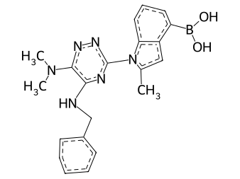 Cc1cc2c(B(O)O)cccc2n1-c1nnc(N(C)C)c(NCc2ccccc2)n1